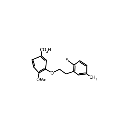 COc1ccc(C(=O)O)cc1OCCc1cc(C)ccc1F